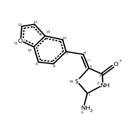 NC1NC(=O)/C(=C/c2ccc3occc3c2)S1